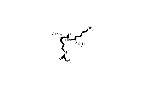 CC(=O)N[C@@H](CCCNC(N)=O)C(=O)N[C@@H](CCCCN)C(=O)O